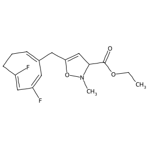 CCOC(=O)C1C=C(CC2=C/CC/C(F)=C/C(F)=C\2)ON1C